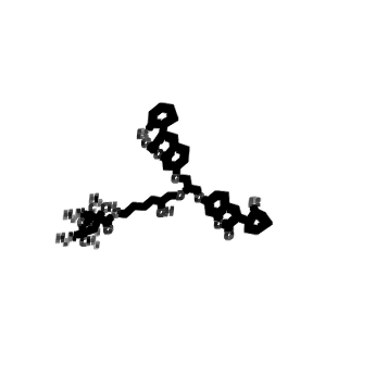 CCc1ccccc1-c1cc2ccc(OCC(COc3ccc4cc(-c5ccccc5CC)c(=O)oc4c3)OCC(O)CCCCOC(=O)C(C)(CC(C)(C)N)C(C)(C)N)cc2oc1=O